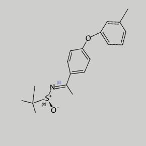 C/C(=N\[S@@+]([O-])C(C)(C)C)c1ccc(Oc2cccc(C)c2)cc1